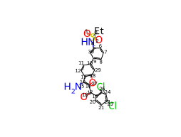 CCS(=O)(=O)Nc1cccc(-c2ccc3c(N)c(C(=O)c4ccc(Cl)cc4Cl)oc3c2)c1